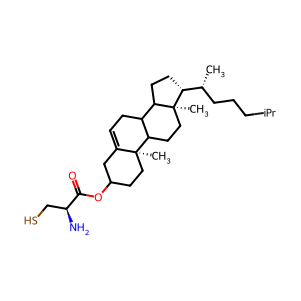 CC(C)CCC[C@@H](C)[C@H]1CCC2C3CC=C4CC(OC(=O)[C@@H](N)CS)CC[C@]4(C)C3CC[C@@]21C